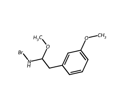 COc1cccc(CC(NBr)OC)c1